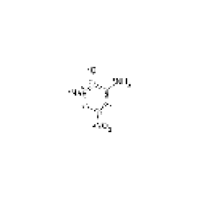 Nc1cc([N+](=O)[O-])ccc1[O-].[Na+]